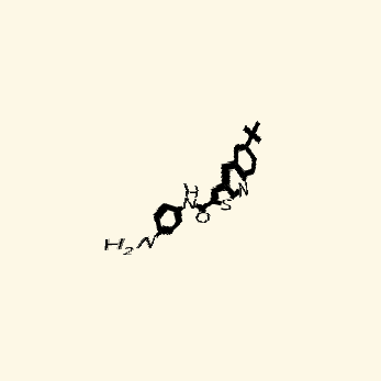 CC(C)(C)C1CCc2nc3sc(C(=O)Nc4ccc(N)cc4)cc3cc2C1